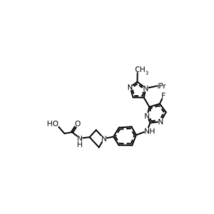 Cc1ncc(-c2nc(Nc3ccc(N4CC(NC(=O)CO)C4)cc3)ncc2F)n1C(C)C